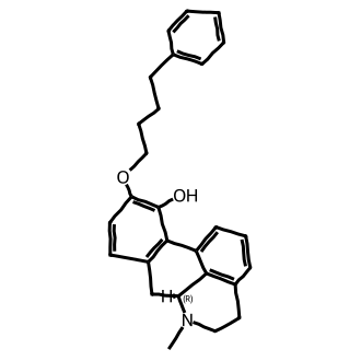 CN1CCc2cccc3c2[C@H]1Cc1ccc(OCCCCc2ccccc2)c(O)c1-3